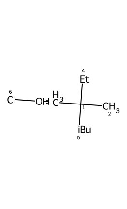 CCC(C)C(C)(C)CC.OCl